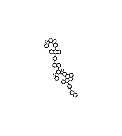 c1ccc(-c2cc3oc4c(-c5cccc6c(-c7ccc(-c8c9ccccc9c(-c9ccc%10oc%11ccc%12oc%13ccccc%13c%12c%11c%10c9)c9ccccc89)cc7)cccc56)cc5oc6ccccc6c5c4c3cc2-c2c3ccccc3c(-c3ccc(-c4ccc5ccccc5c4)cc3)c3ccccc23)cc1